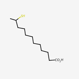 CC(S)CCCCCCCCCC(=O)O